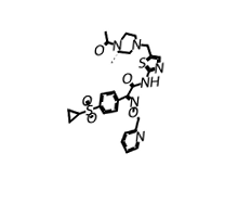 CC(=O)N1CCN(Cc2cnc(NC(=O)/C(=N/OCc3ccccn3)c3ccc(S(=O)(=O)C4CC4)cc3)s2)C[C@@H]1C